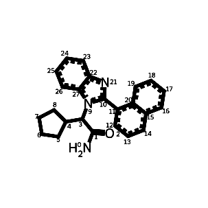 NC(=O)C(C1CCCC1)n1c(-c2cccc3ccccc23)nc2ccccc21